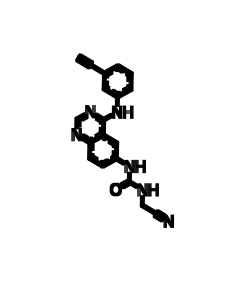 C#Cc1cccc(Nc2ncnc3ccc(NC(=O)NCC#N)cc23)c1